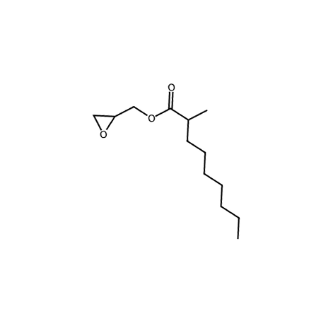 CCCCCCCC(C)C(=O)OCC1CO1